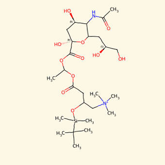 CC(=O)NC1C(C[C@H](O)CO)O[C@@](O)(C(=O)OC(C)OC(=O)CC(C[N+](C)(C)C)O[Si](C)(C)C(C)(C)C)C[C@H]1O